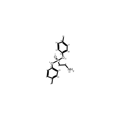 Cc1ccc(OP(=O)(CCN)Oc2ccc(C)cc2)cc1